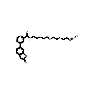 [N-]=[N+]=NCCOCCOCCOCCNC(=O)c1cc(-c2ccc3c(c2)NC(=O)C3)ccn1